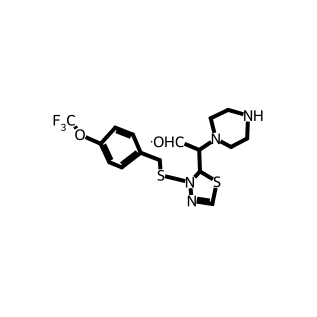 O=[C]C(C1SC=NN1SCc1ccc(OC(F)(F)F)cc1)N1CCNCC1